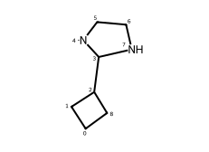 C1CC(C2[N]CCN2)C1